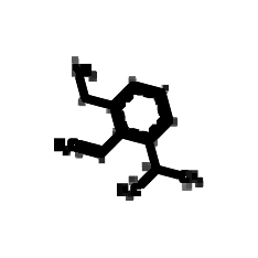 C=Cc1c(CN)cccc1C(C)C